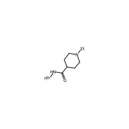 CCCNC(=O)C1CCN(CC)CC1